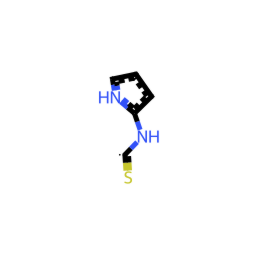 S=[C]Nc1ccc[nH]1